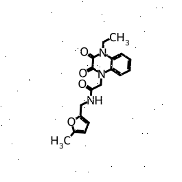 CCn1c(=O)c(=O)n(CC(=O)NCc2ccc(C)o2)c2ccccc21